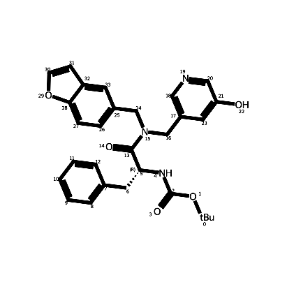 CC(C)(C)OC(=O)N[C@H](Cc1ccccc1)C(=O)N(Cc1cncc(O)c1)Cc1ccc2occc2c1